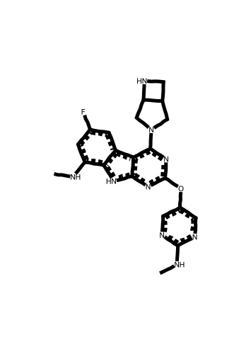 CNc1ncc(Oc2nc(N3CC4CNC4C3)c3c(n2)[nH]c2c(NC)cc(F)cc23)cn1